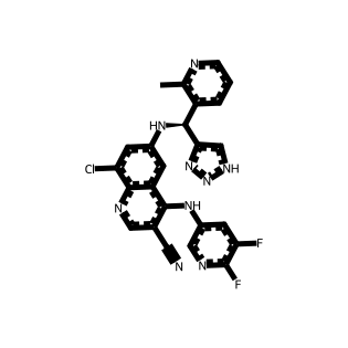 Cc1ncccc1[C@H](Nc1cc(Cl)c2ncc(C#N)c(Nc3cnc(F)c(F)c3)c2c1)c1c[nH]nn1